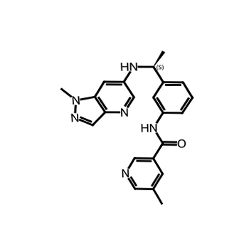 Cc1cncc(C(=O)Nc2cccc([C@H](C)Nc3cnc4cnn(C)c4c3)c2)c1